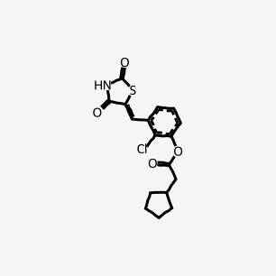 O=C(CC1CCCC1)Oc1cccc(/C=C2\SC(=O)NC2=O)c1Cl